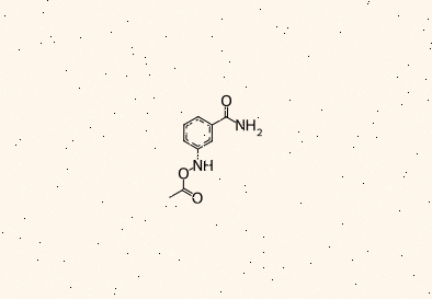 CC(=O)ONc1cccc(C(N)=O)c1